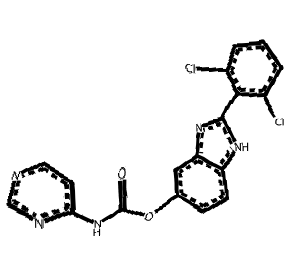 O=C(Nc1ccncn1)Oc1ccc2[nH]c(-c3c(Cl)cccc3Cl)nc2c1